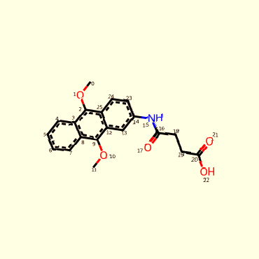 COc1c2ccccc2c(OC)c2cc(NC(=O)CCC(=O)O)ccc12